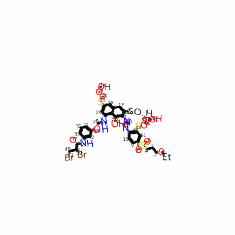 CCOCCCS(=O)(=O)c1ccc(N=Nc2c(S(=O)(=O)O)cc3cc(SOOO)cc(NCOc4cccc(NC(=O)C(Br)CBr)c4)c3c2O)c(SOOO)c1